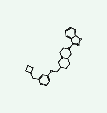 c1cc(CN2CCC2)cc(OCC2CCC3CN(c4noc5ccccc45)CCN3C2)c1